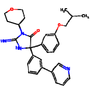 CC(C)COc1cccc(C2(c3cccc(-c4cccnc4)c3)NC(=N)N(C3CCOCC3)C2=O)c1